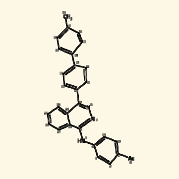 CC(=O)c1ccc(Nc2nnc(-c3ccc(-c4ccc(C)cc4)cc3)c3ccccc23)cc1